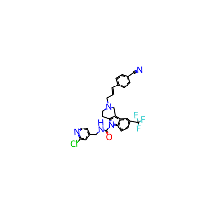 N#Cc1ccc(/C=C/CN2CCc3c(c4cc(C(F)(F)F)ccc4n3C(=O)NCc3ccnc(Cl)c3)C2)cc1